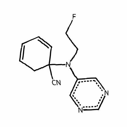 N#CC1(N(CCF)c2cncnc2)C=CC=CC1